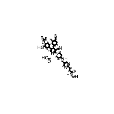 N#Cc1ccc(-c2c(-c3ccc(OC(F)F)c(O)c3)cnc(N3CCC(NCc4cnc(/C=C/C(=O)NO)nc4)CC3)c2C#N)cc1F.O=CO